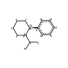 CC(C)N1CCCC[C@H]1c1ccccc1